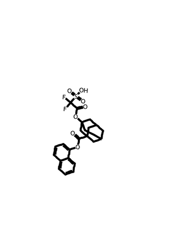 O=C(Oc1cccc2ccccc12)C12CC3CC(CC(OC(=O)C(F)(F)S(=O)(=O)O)(C3)C1)C2